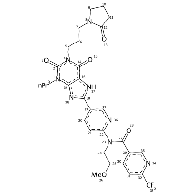 CCCn1c(=O)n(CCCN2CCCC2=O)c(=O)c2[nH]c(-c3ccc(N(CCOC)C(=O)c4ccc(C(F)(F)F)nc4)nc3)nc21